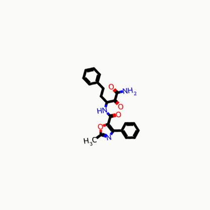 Cc1nc(-c2ccccc2)c(C(=O)NC(CCc2ccccc2)C(=O)C(N)=O)o1